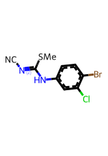 CS/C(=N\C#N)Nc1ccc(Br)c(Cl)c1